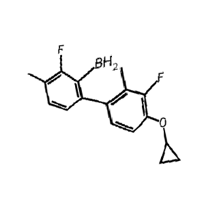 Bc1c(-c2ccc(OC3CC3)c(F)c2C)ccc(C)c1F